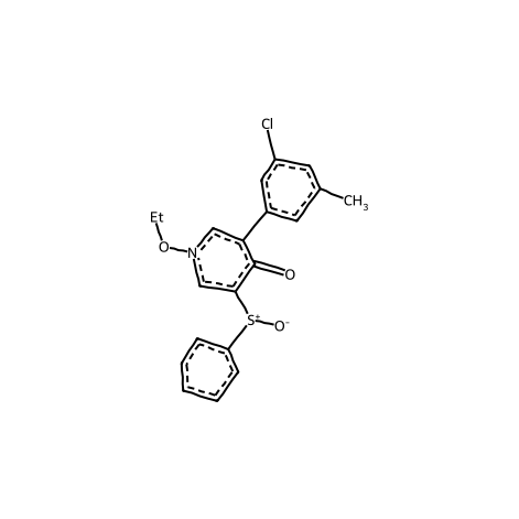 CCOn1cc(-c2cc(C)cc(Cl)c2)c(=O)c([S+]([O-])c2ccccc2)c1